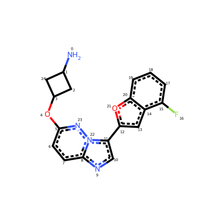 NC1CC(Oc2ccc3ncc(-c4cc5c(F)cccc5o4)n3n2)C1